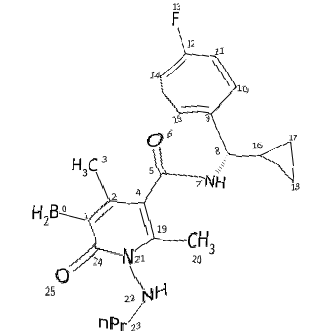 Bc1c(C)c(C(=O)N[C@H](c2ccc(F)cc2)C2CC2)c(C)n(NCCC)c1=O